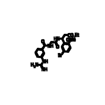 CCOC(=O)CC(NC(=O)CNC(=O)c1cccc(NC(=N)N)c1)c1cc(Br)ccc1OC